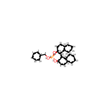 c1ccc(COp2oc3ccc4ccccc4c3c3c(ccc4ccccc43)o2)cc1